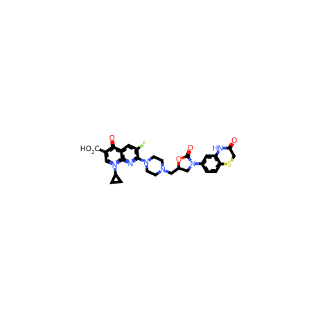 O=C1CSc2ccc(N3CC(CN4CCN(c5nc6c(cc5F)c(=O)c(C(=O)O)cn6C5CC5)CC4)OC3=O)cc2N1